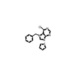 Clc1ncnc2ncn(Cc3ccccc3)c12.c1ccsc1